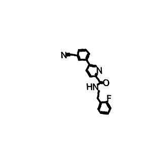 N#Cc1cccc(-c2ccc(C(=O)NCCc3ccccc3F)nc2)c1